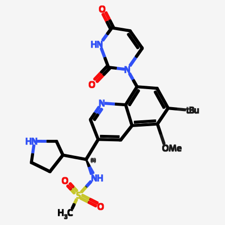 COc1c(C(C)(C)C)cc(-n2ccc(=O)[nH]c2=O)c2ncc([C@@H](NS(C)(=O)=O)C3CCNC3)cc12